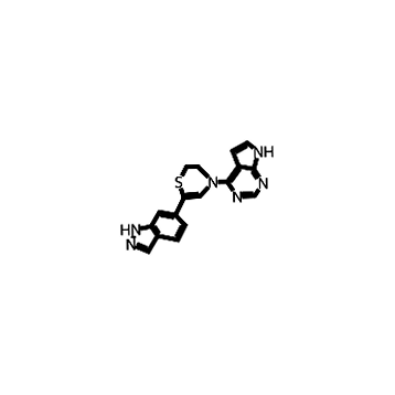 C1=C(c2ccc3cn[nH]c3c2)SCCN1c1ncnc2[nH]ccc12